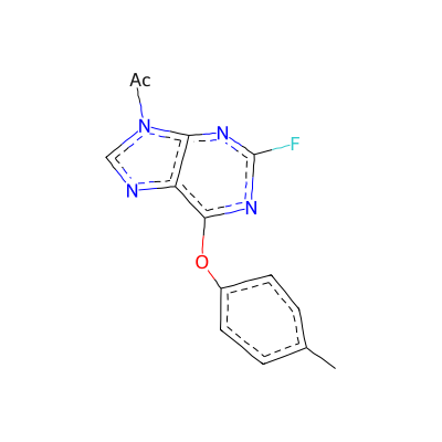 CC(=O)n1cnc2c(Oc3ccc(C)cc3)nc(F)nc21